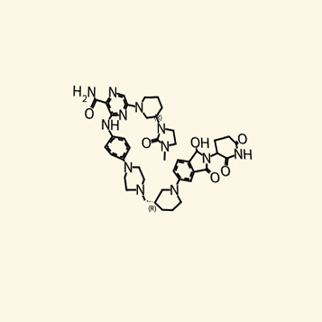 CN1CCN([C@@H]2CCCN(c3cnc(C(N)=O)c(Nc4ccc(N5CCN(C[C@H]6CCCN(c7ccc8c(c7)C(=O)N(C7CCC(=O)NC7=O)C8O)C6)CC5)cc4)n3)C2)C1=O